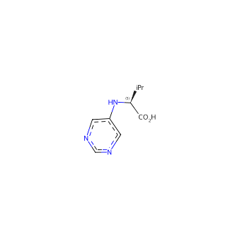 CC(C)[C@H](Nc1cncnc1)C(=O)O